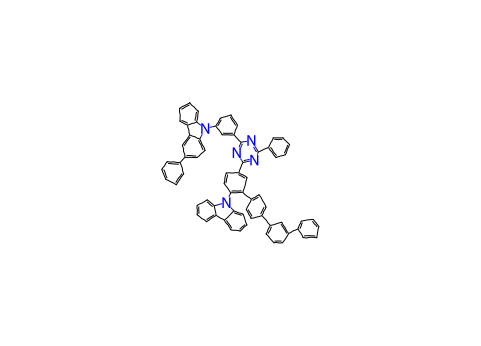 c1ccc(-c2cccc(-c3ccc(-c4cc(-c5nc(-c6ccccc6)nc(-c6cccc(-n7c8ccccc8c8cc(-c9ccccc9)ccc87)c6)n5)ccc4-n4c5ccccc5c5ccccc54)cc3)c2)cc1